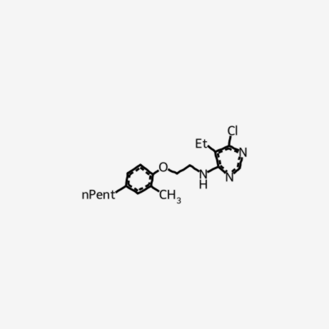 CCCCCc1ccc(OCCNc2ncnc(Cl)c2CC)c(C)c1